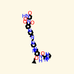 O=C1CCC(N2C(=O)c3ccc(N4CCC5(CC4)CN(CCN4CCC(n6cc7c(n6)CC(OCC6CC6)C(NC(=O)c6cnn8cccnc68)=C7)CC4)C5)cc3C2=O)C(=O)N1